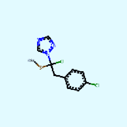 CCC(C)SC(Cl)(Cc1ccc(Cl)cc1)n1cncn1